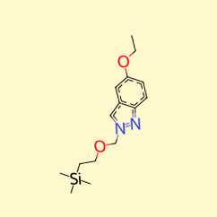 CCOc1ccc2nn(COCC[Si](C)(C)C)cc2c1